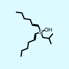 CCCCC=C[Si](O)(C=CCCCC)CC(C)C